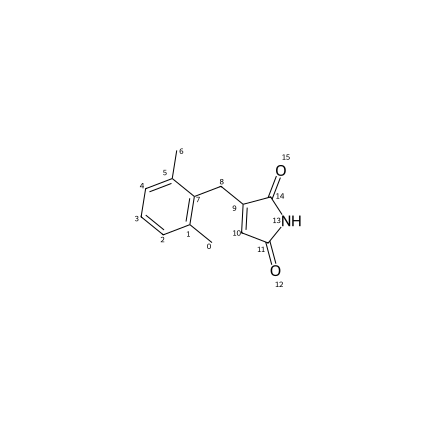 Cc1cccc(C)c1CC1=CC(=O)NC1=O